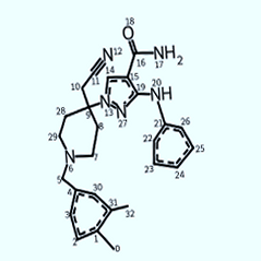 Cc1ccc(CN2CCC(CC#N)(n3cc(C(N)=O)c(Nc4ccccc4)n3)CC2)cc1C